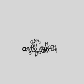 CC(C)(C)OC(=O)N[C@H]1CO[C@H]2[C@@H]1OC[C@H]2OCNC(=O)CNC(=O)[C@H](Cc1ccccc1)NC(=O)CNC(=O)CN